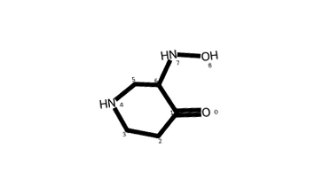 O=C1CCNCC1NO